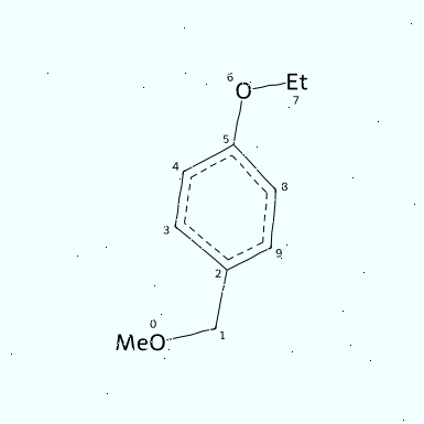 [CH2]OCc1ccc(OCC)cc1